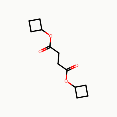 O=C(CCC(=O)OC1CCC1)OC1CCC1